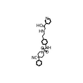 N#CC1(c2ccccc2)CCN(S(=O)(=O)Nc2ccc(CCNC[C@H](O)c3cccnc3)cc2)CC1